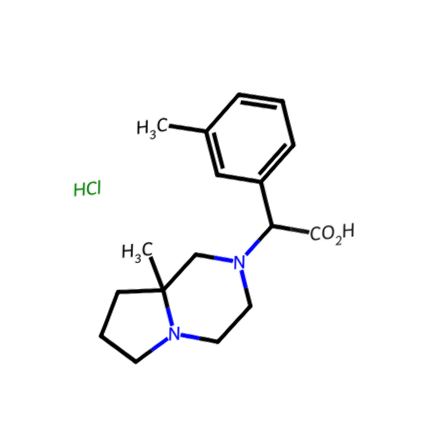 Cc1cccc(C(C(=O)O)N2CCN3CCCC3(C)C2)c1.Cl